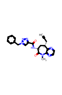 C#CC[C@H]1C[C@@H](NC(=O)c2cn(Cc3ccccc3)nn2)C(=O)N(C)c2nccnc21